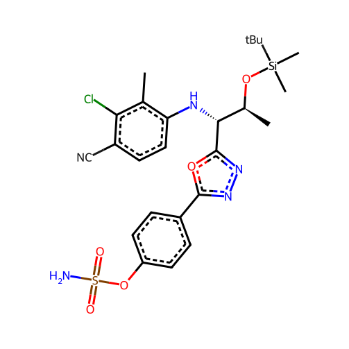 Cc1c(N[C@@H](c2nnc(-c3ccc(OS(N)(=O)=O)cc3)o2)[C@H](C)O[Si](C)(C)C(C)(C)C)ccc(C#N)c1Cl